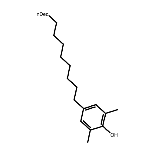 CCCCCCCCCCCCCCCCCCc1cc(C)c(O)c(C)c1